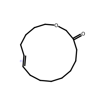 O=C1CCCCCCC/C=C/CCCCOC1